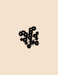 CC(C)(C)c1cc(N2c3cc4c(ccc5ccccc54)cc3B3c4cc5ccc6ccccc6c5cc4N(c4cc(C(C)(C)C)cc(C(C)(C)C)c4)c4cc(-c5nc(-c6ccccc6)nc(-c6ccccc6)n5)cc2c43)cc(C(C)(C)C)c1